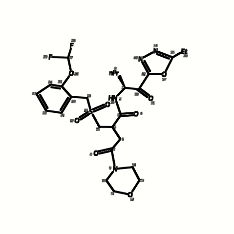 CCC[C@H](NC(=O)C(CC(=O)N1CCOCC1)CS(=O)(=O)Cc1ccccc1OC(F)F)C(=O)c1nnc(CC)o1